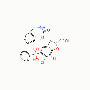 O=C1NCc2cccc(c2)CO1.OCC1Cc2cc(C(O)(O)c3ccccc3)c(Cl)c(Cl)c2O1